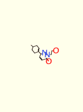 CC1CC=C(c2ccc(=O)n(CC=O)n2)CC1